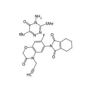 C#CCN1C(=O)COc2cc(F)c(N3C(=O)C4=C(CCCC4)C3=O)cc21.CSc1nnc(C(C)(C)C)c(=O)n1N